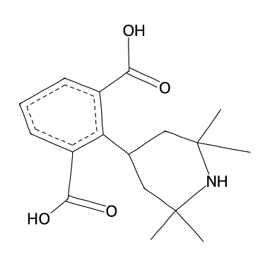 CC1(C)CC(c2c(C(=O)O)cccc2C(=O)O)CC(C)(C)N1